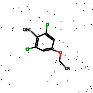 N#CCOc1cc(Cl)c(C=O)c(Cl)c1